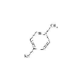 Cc1cc[c]([Na])cc1